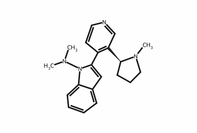 CN1CCC[C@H]1c1cnccc1-c1cc2ccccc2n1N(C)C